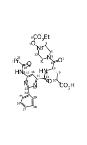 CCOC(=O)ON1CCN(C(=O)[C@H](CCC(=O)O)NC(=O)c2cc(NC(=O)C(C)C)nc(-c3ccccc3)n2)CC1